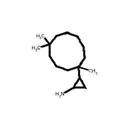 CC1(C)CCCCCC(C)(C2CC2N)CCC1